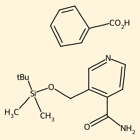 CC(C)(C)[Si](C)(C)OCc1cnccc1C(N)=O.O=C(O)c1ccccc1